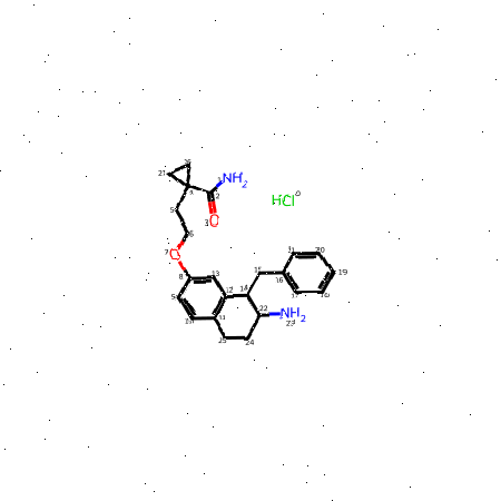 Cl.NC(=O)C1(CCOc2ccc3c(c2)C(Cc2ccccc2)C(N)CC3)CC1